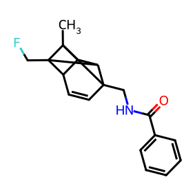 CC12C3C4C=CC1(CNC(=O)c1ccccc1)C3C42CF